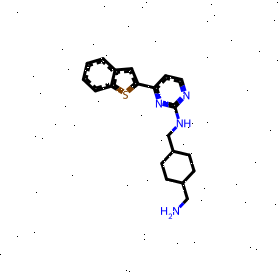 NCC1CCC(CNc2nccc(-c3cc4ccccc4s3)n2)CC1